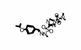 CC(C)Oc1ccc(/C=N/N(C)S(=O)(=O)c2ncn(S(=O)(=O)N(C)C)n2)cc1